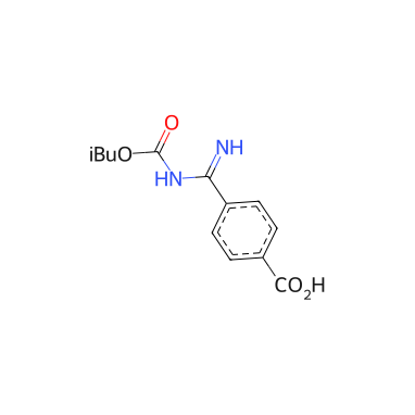 CC(C)COC(=O)NC(=N)c1ccc(C(=O)O)cc1